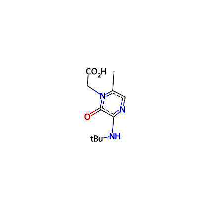 Cc1cnc(NC(C)(C)C)c(=O)n1CC(=O)O